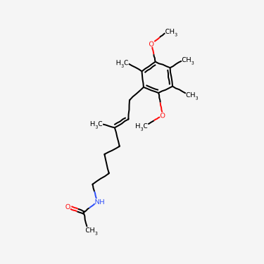 COc1c(C)c(C)c(OC)c(C/C=C(\C)CCCCNC(C)=O)c1C